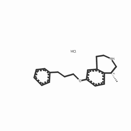 C[C@H]1CNCCc2cc(OCCCc3ccccc3)ccc21.Cl